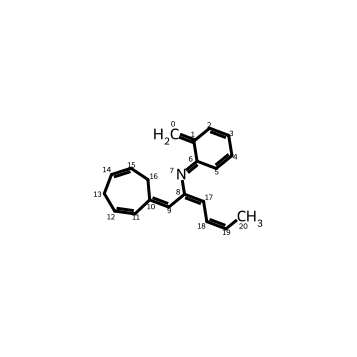 C=C1C=CC=CC1=NC(/C=C1/C=CCC=CC1)=C/C=C\C